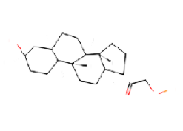 C[C@]12CC[C@H]3[C@@H](CC[C@@H]4C[C@@](O)(C(F)(F)F)CC[C@@H]43)[C@@H]1CC[C@@H]2C(=O)COP